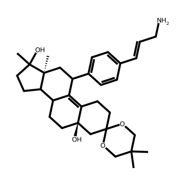 CC1(C)COC2(CCC3=C4C(c5ccc(/C=C/CN)cc5)C[C@@]5(C)C(CCC5(C)O)C4CC[C@@]3(O)C2)OC1